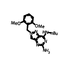 CCCCNc1nc(N)nc2cn(Cc3c(OC)cccc3OC)nc12